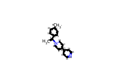 [CH2]c1ccc(C(=C)[n+]2ccc(-c3ccncc3)cc2)cc1